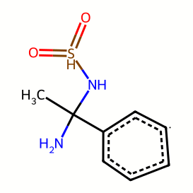 CC(N)(N[SH](=O)=O)c1c[c]ccc1